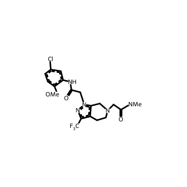 CNC(=O)CN1CCc2c(C(F)(F)F)nn(CC(=O)Nc3cc(Cl)ccc3OC)c2C1